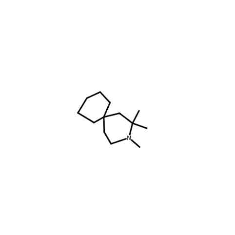 CN1CCC2(CCCCC2)CC1(C)C